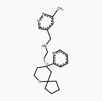 Cc1cc(CNCC[C@@]2(c3ccccn3)CCOC3(CCCC3)C2)cnn1